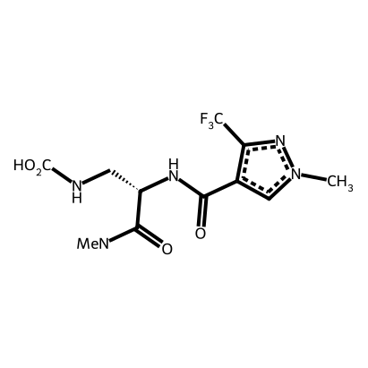 CNC(=O)[C@H](CNC(=O)O)NC(=O)c1cn(C)nc1C(F)(F)F